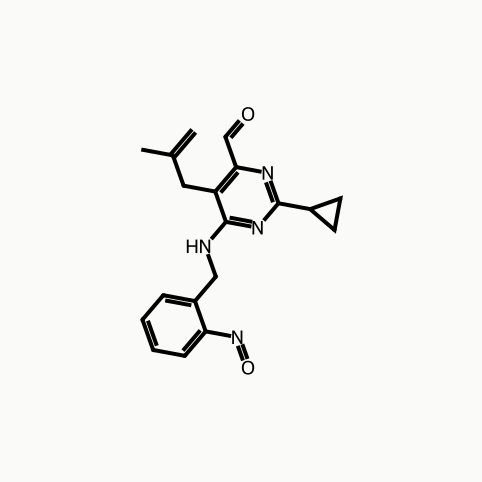 C=C(C)Cc1c(C=O)nc(C2CC2)nc1NCc1ccccc1N=O